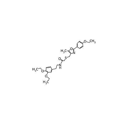 CCOc1ccc(-c2nc(CSCC(=O)NCCc3ccc(OCC)c(OCC)c3)c(C)o2)cc1